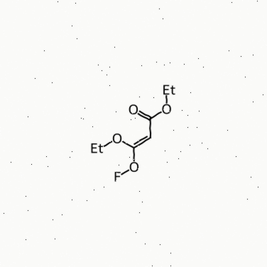 CCOC(=O)C=C(OF)OCC